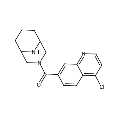 O=C(c1ccc2c(Cl)ccnc2c1)N1CC2CCCC(C1)N2